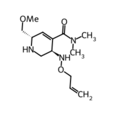 C=CCON[C@H]1CN[C@H](COC)C=C1C(=O)N(C)C